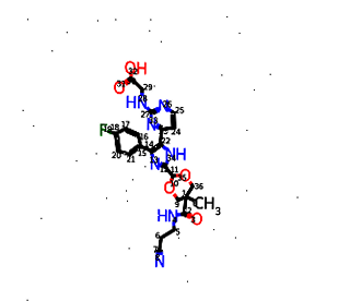 CC1(C(=O)NCCC#N)COC(c2nc(-c3ccc(F)cc3)c(-c3ccnc(NCC(=O)O)n3)[nH]2)OC1